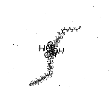 CCCCCC/C=C\CCCCCCCC(=O)C(O)C(O)(CO)C(=O)CCCCCCC/C=C\CCCCCCCC